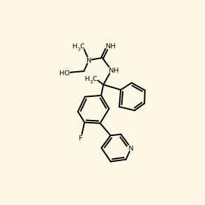 CN(CO)C(=N)NC(C)(c1ccccc1)c1ccc(F)c(-c2cccnc2)c1